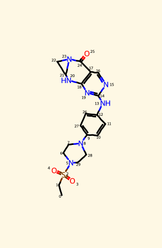 CCS(=O)(=O)N1CCN(c2ccc(Nc3ncc4c(n3)NC3CN3C4=O)cc2)CC1